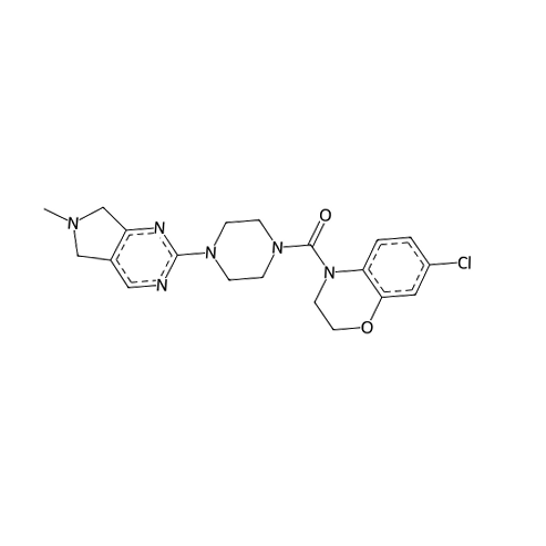 CN1Cc2cnc(N3CCN(C(=O)N4CCOc5cc(Cl)ccc54)CC3)nc2C1